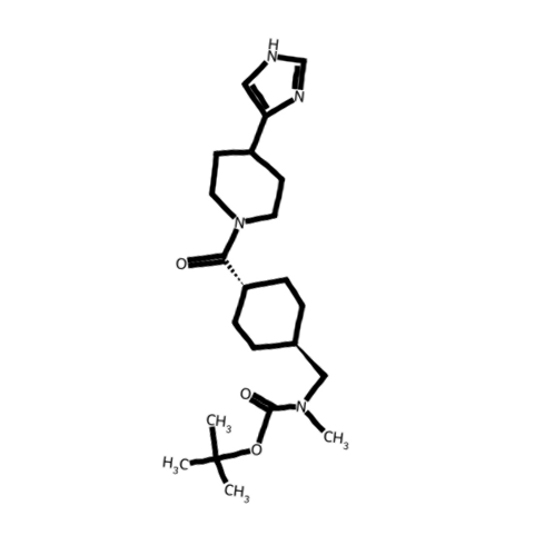 CN(C[C@H]1CC[C@H](C(=O)N2CCC(c3c[nH]cn3)CC2)CC1)C(=O)OC(C)(C)C